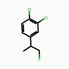 [CH2]C(CF)c1ccc(Cl)c(Cl)c1